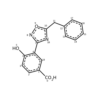 O=C(O)c1ccc(O)c(-c2noc(Cc3ccccc3)n2)c1